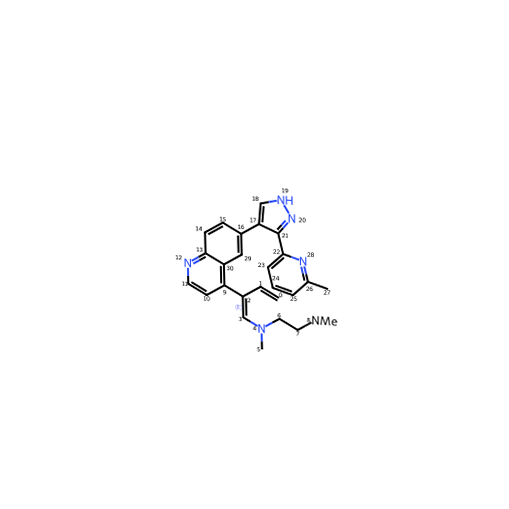 C=C/C(=C\N(C)CCNC)c1ccnc2ccc(-c3c[nH]nc3-c3cccc(C)n3)cc12